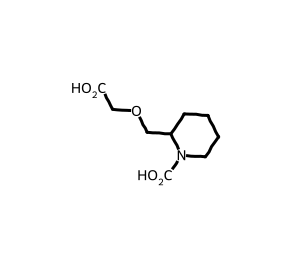 O=C(O)COCC1CCCCN1C(=O)O